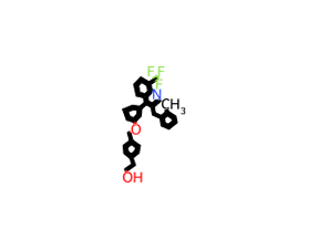 Cc1ccccc1Cc1cnc2c(C(F)(F)F)cccc2c1-c1cccc(OCc2ccc(CCO)cc2)c1